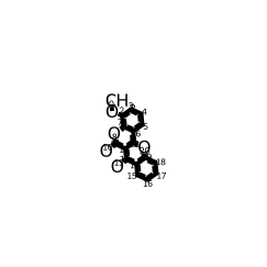 COc1cccc2c1oc(=O)c1c(=O)c3ccccc3oc12